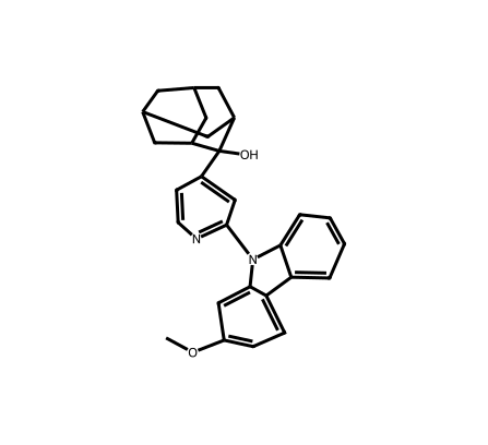 COc1ccc2c3ccccc3n(-c3cc(C4(O)C5CC6CC(C5)CC4C6)ccn3)c2c1